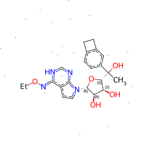 CCON=c1[nH]cnc2c1ccn2[C@@H]1O[C@H](C(C)(O)c2ccc3c(c2)CC3)[C@@H](O)[C@H]1O